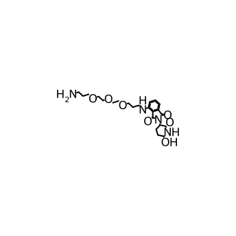 NCCCOCCOCCOCCCNc1cccc2c1C(=O)N(C1CCC(O)NC1=O)C2=O